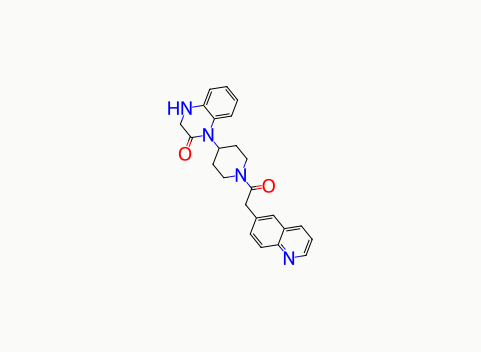 O=C(Cc1ccc2ncccc2c1)N1CCC(N2C(=O)CNc3ccccc32)CC1